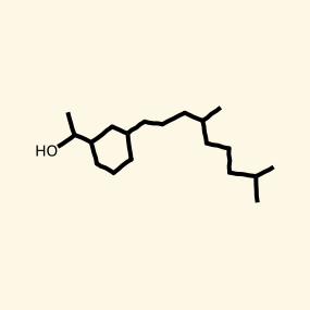 CC(C)CCCC(C)CCCC1CCCC(C(C)O)C1